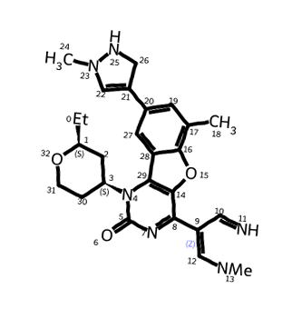 CC[C@H]1C[C@@H](n2c(=O)nc(/C(C=N)=C/NC)c3oc4c(C)cc(C5=CN(C)NC5)cc4c32)CCO1